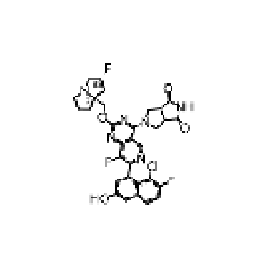 O=C1NC(=O)C2CN(c3nc(OC[C@@]45CCCN4C[C@H](F)C5)nc4c(F)c(-c5cc(O)cc6ccc(F)c(Cl)c56)ncc34)CC12